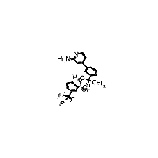 CC(C)(NS(=O)(=O)c1cccc(C(F)(F)F)c1)c1cccc(-c2ccnc(N)c2)c1